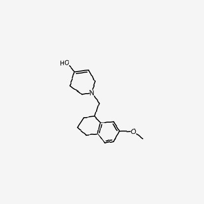 COc1ccc2c(c1)C(CN1CC=C(O)CC1)CCC2